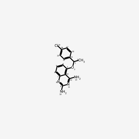 CC(Oc1cccc2nc(N)nc(N)c12)c1ccc(Cl)cc1